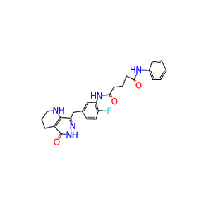 O=C(CCCC(=O)Nc1cc(Cc2n[nH]c(=O)c3c2NCCC3)ccc1F)Nc1ccccc1